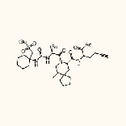 C#CCCC(NC(=O)[C@@H]1CC2(CCCC2)C(C)CN1C(=O)[C@@H](NC(=O)NC1(CS(=O)(=O)C(C)(C)C)CCCCC1)C(C)(C)C)C(=O)C(C)=O